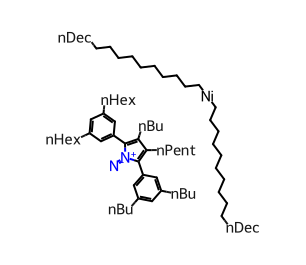 CCCCCCCCCCCCCCCCCCC[CH2][Ni][CH2]CCCCCCCCCCCCCCCCCCC.CCCCCCc1cc(CCCCCC)cc(C2=C(CCCC)C(CCCCC)=C(c3cc(CCCC)cc(CCCC)c3)[N+]2=[N-])c1